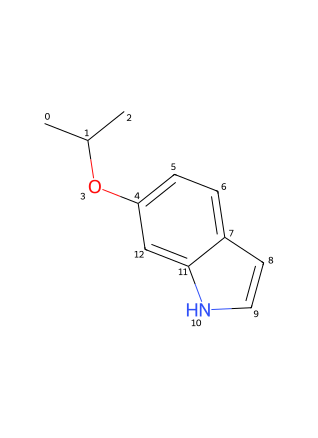 CC(C)Oc1ccc2cc[nH]c2c1